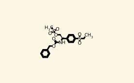 CCS(=O)(=O)c1ccc([C@H](COS(C)(=O)=O)NC(=O)OCc2ccccc2)cc1